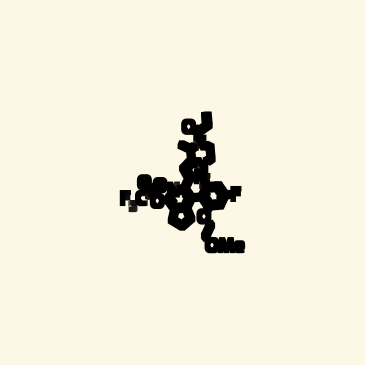 C=CC(=O)N1CCn2nc(-c3nc(OS(=O)(=O)C(F)(F)F)c4c(c3-c3c(F)cc(F)cc3OCCOC)CCC4)cc2C1C